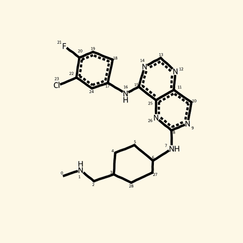 CNCC1CCC(Nc2ncc3ncnc(Nc4ccc(F)c(Cl)c4)c3n2)CC1